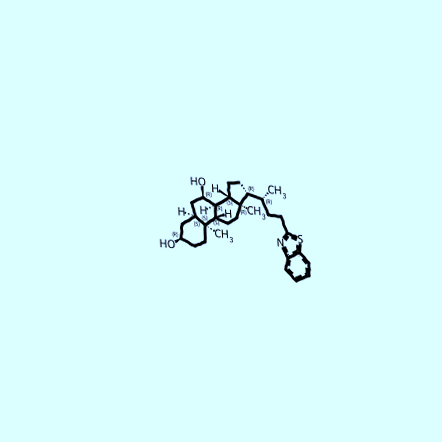 C[C@H](CCc1nc2ccccc2s1)[C@H]1CC[C@H]2[C@@H]3[C@H](O)C[C@@H]4C[C@H](O)CC[C@]4(C)[C@H]3CC[C@]12C